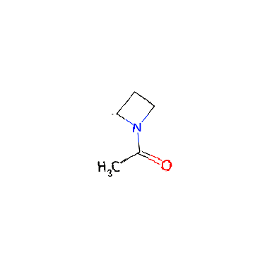 CC(=O)N1[CH]CC1